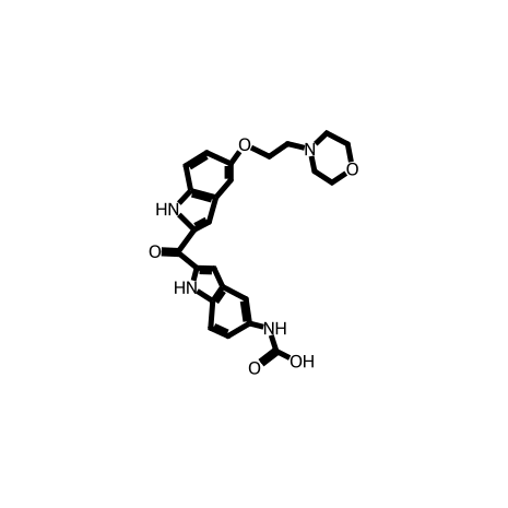 O=C(O)Nc1ccc2[nH]c(C(=O)c3cc4cc(OCCN5CCOCC5)ccc4[nH]3)cc2c1